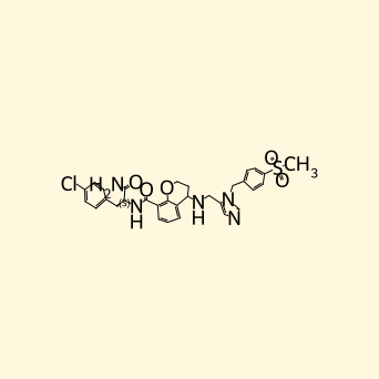 CS(=O)(=O)c1ccc(Cn2cncc2CNC2CCOc3c(C(=O)N[C@@H](Cc4ccc(Cl)cc4)C(N)=O)cccc32)cc1